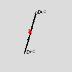 CCCCCCCCCCCCCCCCCCCCCCCCCCCOC(=O)CCCCCCCCCCCCCCCCCCCCCCCCCC